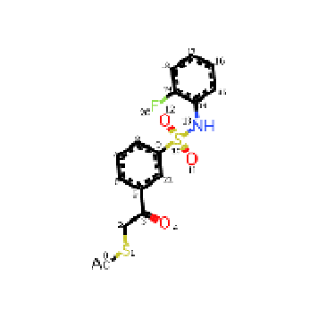 CC(=O)SCC(=O)c1cccc(S(=O)(=O)Nc2ccccc2F)c1